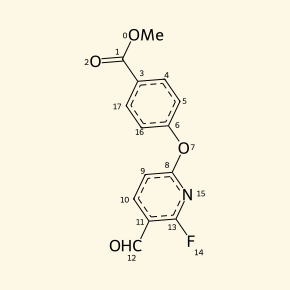 COC(=O)c1ccc(Oc2ccc(C=O)c(F)n2)cc1